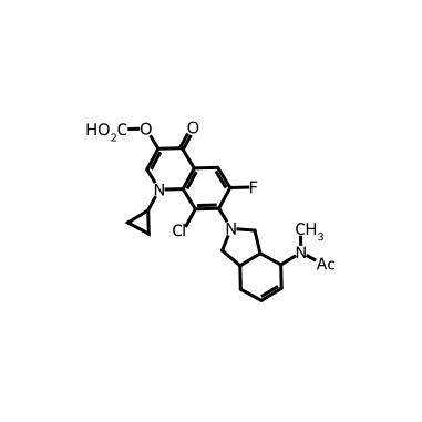 CC(=O)N(C)C1C=CCC2CN(c3c(F)cc4c(=O)c(OC(=O)O)cn(C5CC5)c4c3Cl)CC21